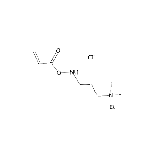 C=CC(=O)ONCCC[N+](C)(C)CC.[Cl-]